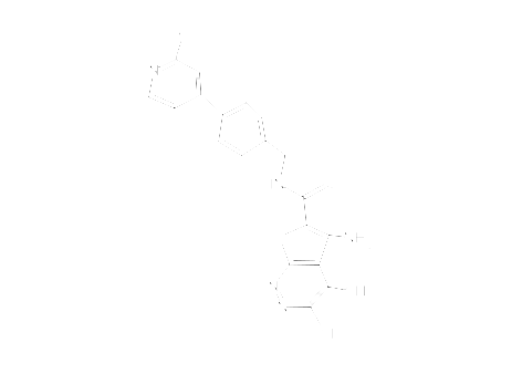 Cc1cc(-c2ccc(CNC(=O)c3sc4nnc(C)c(C)c4c3N)cc2)ccn1